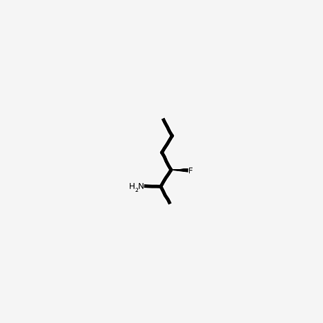 CCC[C@@H](F)C(C)N